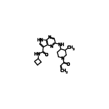 C=CC(=O)N1CCC(Nc2cnc3[nH]cc(C(=O)NC4CCC4)c3n2)C(C)C1